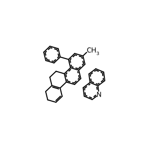 Cc1cc(-c2ccccc2)c2c3c(ccc2c1)C1=C(CCC=C1)CC3.c1ccc2ncccc2c1